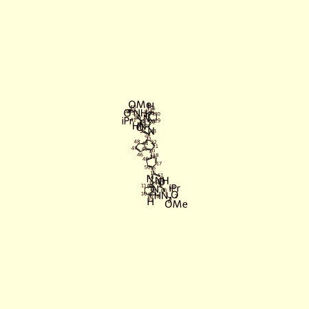 COC(=O)N[C@H](C(=O)N1C[C@@H]2CC[C@@]1(c1nc(-c3ccc(-c4ccc(-c5c[nH]c([C@@]67CC[C@@H](CN6C(=O)[C@@H](NC(=O)OC)C(C)C)C7)n5)c5c4C=CC5)cc3)c[nH]1)C2)C(C)C